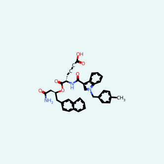 Cc1ccc(Cn2cc(C(=O)N[C@@H](CCCC(=O)O)C(=O)O[C@H](CC(N)=O)Cc3ccc4ccccc4c3)c3ccccc32)cc1